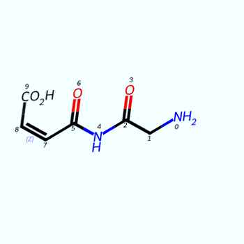 NCC(=O)NC(=O)/C=C\C(=O)O